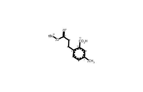 Cc1ccc(CCC(=O)OC(C)(C)C)c(C(=O)O)c1